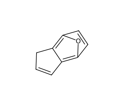 C1=Cc2c(c3ccc2o3)C1